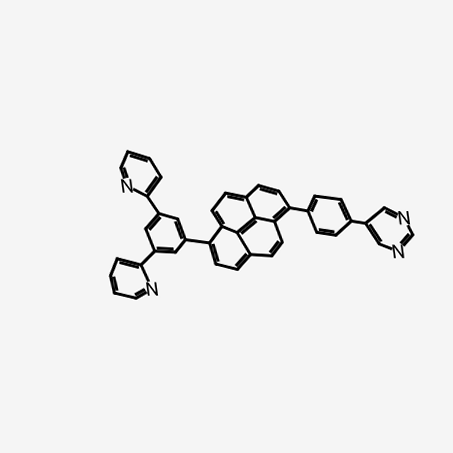 c1ccc(-c2cc(-c3ccccn3)cc(-c3ccc4ccc5c(-c6ccc(-c7cncnc7)cc6)ccc6ccc3c4c65)c2)nc1